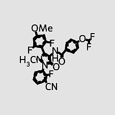 COc1cc(F)c(-c2c(NC(=O)c3ccc(OC(F)F)cc3)c(=O)n(-c3cccc(C#N)c3F)n2C)c(F)c1